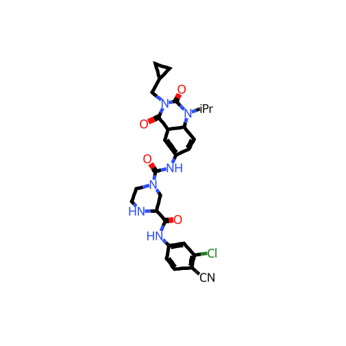 CC(C)N1C(=O)N(CC2CC2)C(=O)C2C=C(NC(=O)N3CCNC(C(=O)Nc4ccc(C#N)c(Cl)c4)C3)C=CC21